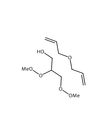 C=CCOCC=C.COOCC(CO)OOC